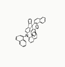 c1ccc2c(c1)Oc1c(ccc3ccccc13)C21c2ccccc2-c2ccc(N(c3cccc4ccccc34)c3cccc4ccccc34)cc21